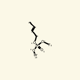 CC=CCOP(=O)(OF)OBr